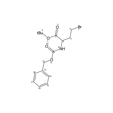 CC(C)(C)OC(=O)C(CCBr)NC(=O)OCc1ccccc1